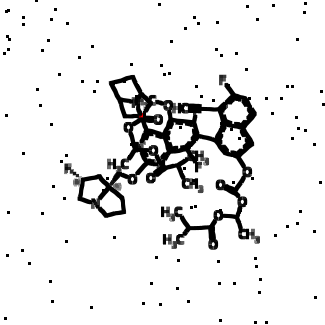 C#Cc1c(F)ccc2cc(OC(=O)OC(C)OC(=O)C(C)C)cc(-c3c(F)c(OC)c4c(N5CC6CCC(C5)N6C(=O)OC(C)OC(=O)C(C)C)nc(OC[C@@]56CCCN5C[C@H](F)C6)nc4c3F)c12